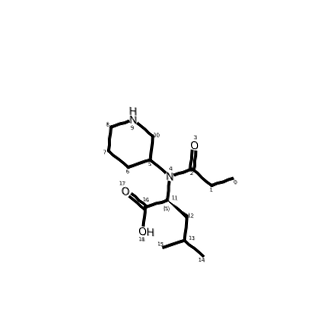 CCC(=O)N(C1CCCNC1)[C@@H](CC(C)C)C(=O)O